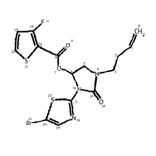 C=CCCN1CC(OC(=O)c2sccc2F)N(c2ncc(Br)s2)C1=O